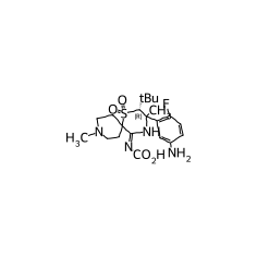 CN1CCC2(CC1)C(=NC(=O)O)NC(C)(c1cc(N)ccc1F)[C@@H](C(C)(C)C)S2(=O)=O